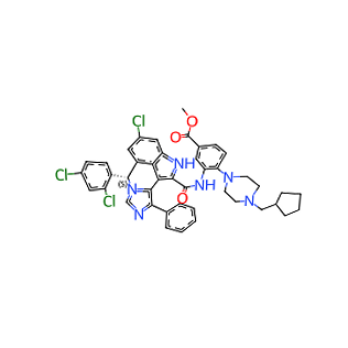 COC(=O)c1ccc(N2CCN(CC3CCCC3)CC2)c(NC(=O)c2[nH]c3cc(Cl)cc4c3c2-c2c(-c3ccccc3)ncn2[C@@H]4c2ccc(Cl)cc2Cl)c1